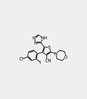 N#Cc1c(N2CCOCC2)sc(-c2nnc[nH]2)c1-c1ccc(Cl)cc1I